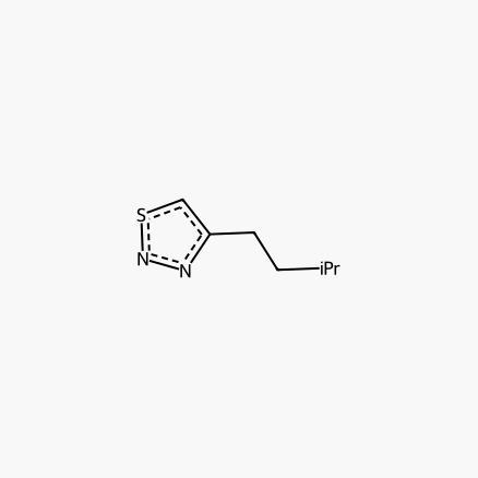 CC(C)CCc1csnn1